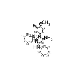 COc1ccc(N2C(NC3CCCCC3)=NC(NC3CCCCCC3)=NC2N)cc1F